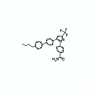 CCCCc1ccc(-c2ccc(-c3cc(C(F)(F)F)nn3-c3ccc(C(N)=O)cc3)cc2)cc1